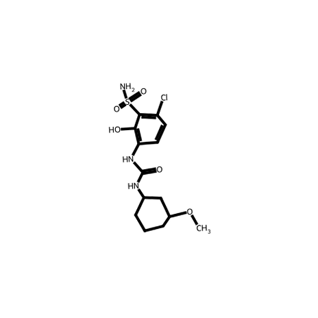 COC1CCCC(NC(=O)Nc2ccc(Cl)c(S(N)(=O)=O)c2O)C1